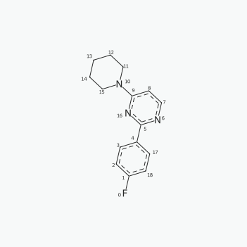 Fc1ccc(-c2nccc(N3CCCCC3)n2)cc1